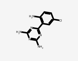 Nc1nc(N)nc(-c2cc(Cl)ccc2N)n1